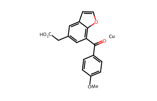 COc1ccc(C(=O)c2cc(CC(=O)O)cc3ccoc23)cc1.[Cu]